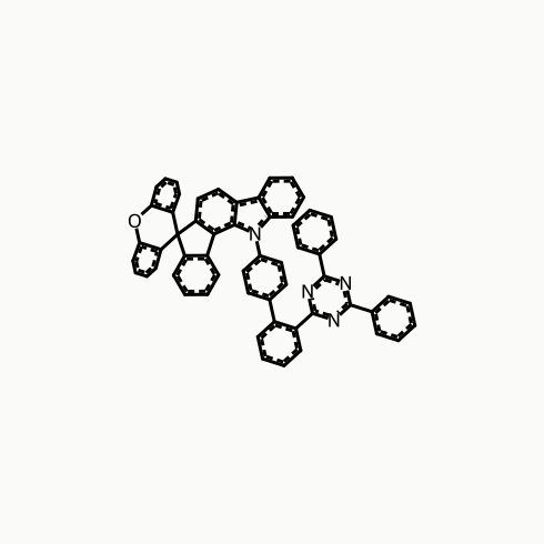 c1ccc(-c2nc(-c3ccccc3)nc(-c3ccccc3-c3ccc(-n4c5ccccc5c5ccc6c(c54)-c4ccccc4C64c5ccccc5Oc5ccccc54)cc3)n2)cc1